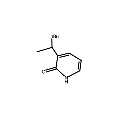 CCCCC(C)c1ccc[nH]c1=O